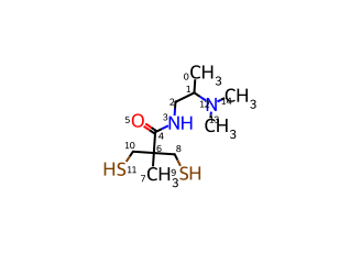 CC(CNC(=O)C(C)(CS)CS)N(C)C